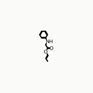 CC=COC(=O)CNc1ccccc1